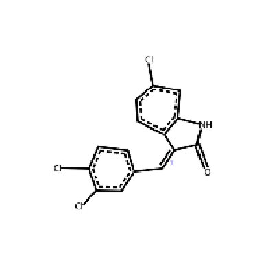 O=C1Nc2cc(Cl)ccc2/C1=C\c1ccc(Cl)c(Cl)c1